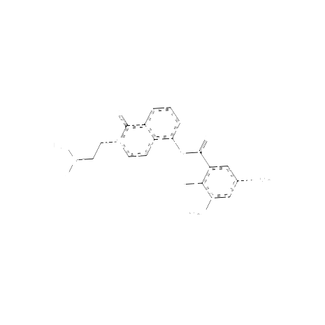 COc1cc(OC)c(Cl)c(C(=O)Nc2cccc3c(=O)n(CCN(C)C)ccc23)c1